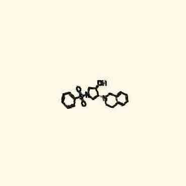 O=S(=O)(c1ccccc1)N1C[C@@H](O)[C@H](N2CCc3ccccc3C2)C1